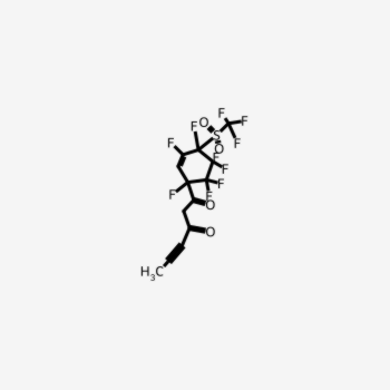 CC#CC(=O)CC(=O)C1(F)C=C(F)C(F)(S(=O)(=O)C(F)(F)F)C(F)(F)C1(F)F